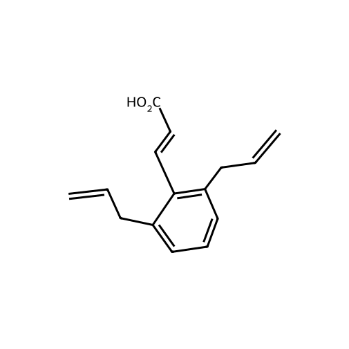 C=CCc1cccc(CC=C)c1C=CC(=O)O